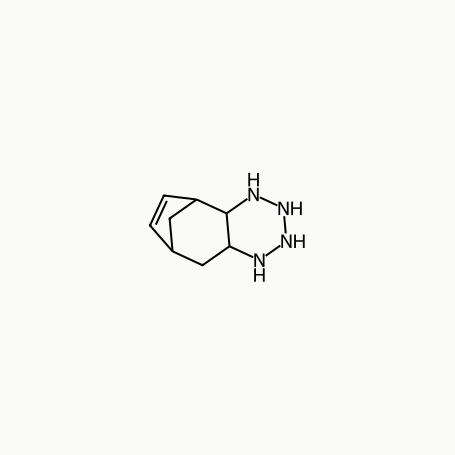 C1=CC2CC1CC1NNNNC21